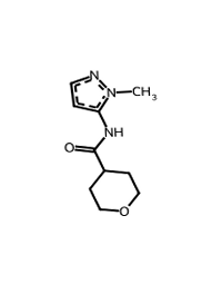 Cn1nccc1NC(=O)C1CCOCC1